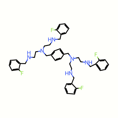 Fc1ccccc1CNCCN(CCNCc1ccccc1F)Cc1ccc(CN(CCNCc2ccccc2F)CCNCc2ccccc2F)cc1